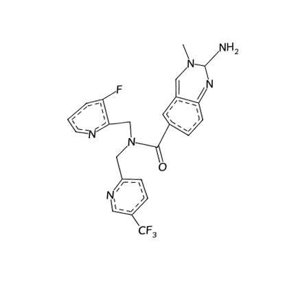 CN1C=c2cc(C(=O)N(Cc3ccc(C(F)(F)F)cn3)Cc3ncccc3F)ccc2=NC1N